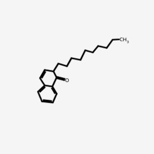 CCCCCCCCCCC1C=Cc2ccccc2C1=O